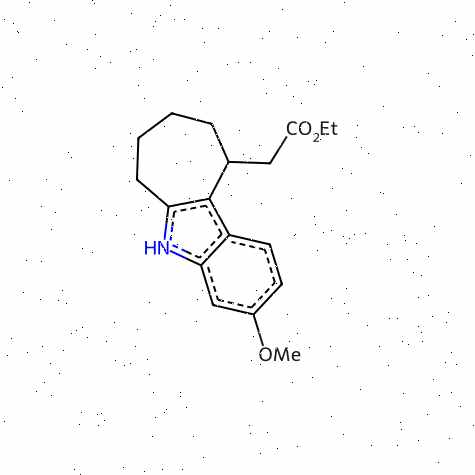 CCOC(=O)CC1CCCCc2[nH]c3cc(OC)ccc3c21